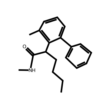 CCCCC(C(=O)NC)c1c(C)cccc1-c1ccccc1